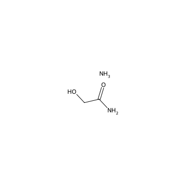 N.NC(=O)CO